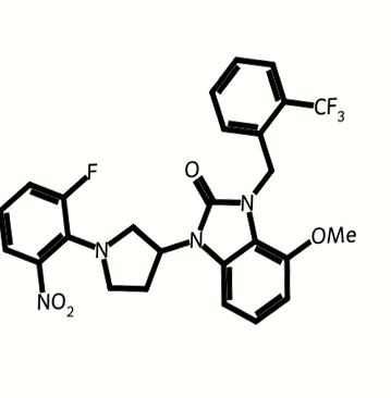 COc1cccc2c1n(Cc1ccccc1C(F)(F)F)c(=O)n2C1CCN(c2c(F)cccc2[N+](=O)[O-])C1